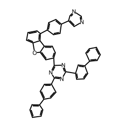 c1ccc(-c2ccc(-c3nc(-c4cccc(-c5ccccc5)c4)nc(-c4ccc5c(c4)oc4cccc(-c6ccc(-c7cncnc7)cc6)c45)n3)cc2)cc1